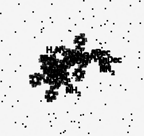 CCCCCCCCCCN(CC(N)=O)C(=O)CN(CCCCCCCCCC)C(=O)CN(CCc1ccccc1)C(=O)CN(CCc1ccccc1)C(=O)CN(CCCN)C(=O)CN(CCc1ccccc1)C(=O)CN(CCc1ccccc1)C(=O)CN(CCCN)C(=O)CN(CCc1ccccc1)C(=O)CN(CCc1ccccc1)C(=O)CNCCCN